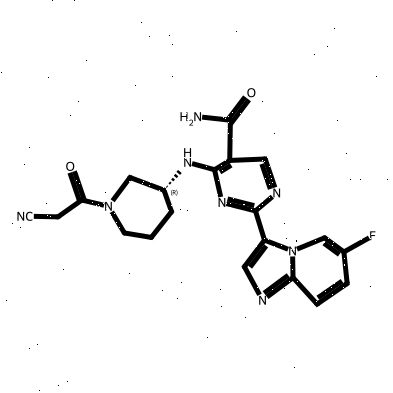 N#CCC(=O)N1CCC[C@@H](Nc2nc(-c3cnc4ccc(F)cn34)ncc2C(N)=O)C1